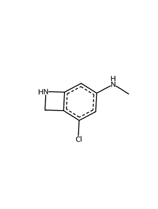 CNc1cc(Cl)c2c(c1)NC2